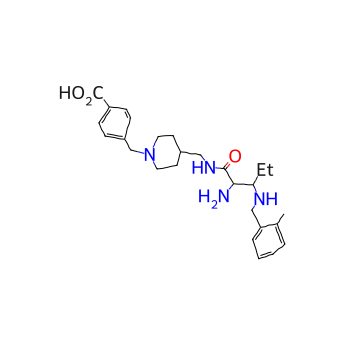 CCC(NCc1ccccc1C)C(N)C(=O)NCC1CCN(Cc2ccc(C(=O)O)cc2)CC1